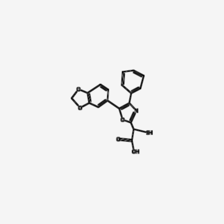 O=C(O)C(S)c1nc(-c2ccccc2)c(-c2ccc3c(c2)OCO3)o1